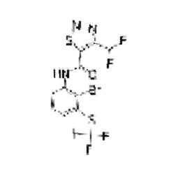 O=C(Nc1cccc(SC(F)(F)F)c1Br)c1snnc1C(F)F